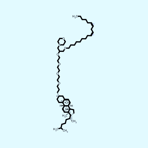 CCCCC/C=C\C/C=C\CCCCCCCCOCC(CN1CCOCC1)OCCOCCOCCOCCC[C@H]1CC[C@@]2(C)C(=CC[C@@H]3[C@@H]2CC[C@]2(C)[C@@H]([C@H](C)CCCC(C)C)CC[C@@]32N)C1